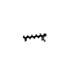 CC(C)CCCCCCC[SiH2][O]